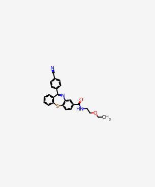 CCOCCNC(=O)c1ccc2c(c1)N=C(c1ccc(C#N)cc1)c1ccccc1S2